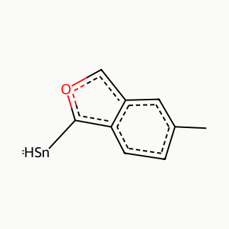 Cc1ccc2[c]([SnH])occ2c1